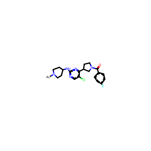 CC(=O)N1CCC(Nc2ncc(Cl)c(C3CCN(C(=O)c4ccc(F)cc4)C3)n2)CC1